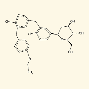 CCOc1ccc(Cc2cc(Cc3cc([C@H]4C[C@@H](O)[C@H](O)[C@@H](CO)O4)ccc3Cl)ccc2Cl)cc1